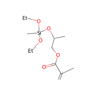 C=C(C)C(=O)OCC(C)O[Si](C)(OCC)OCC